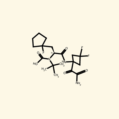 CC(C)(C)N(C(=O)O)[C@@H](CC1(F)CCCC1)C(=O)NC1(C(=O)C(N)=O)CC(F)(F)C1